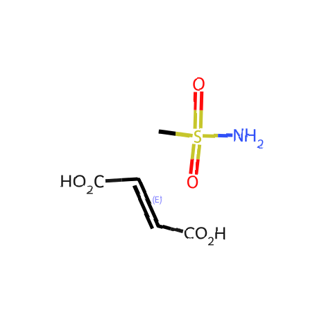 CS(N)(=O)=O.O=C(O)/C=C/C(=O)O